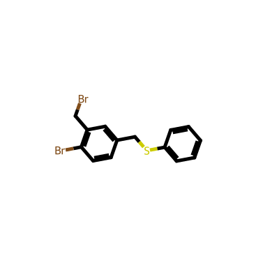 BrCc1cc(CSc2ccccc2)ccc1Br